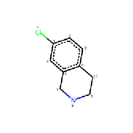 Clc1ccc2c(c1)C[N]CC2